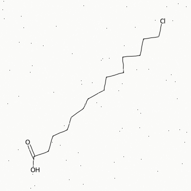 O=C(O)CCCCCCCCCCCCCCl